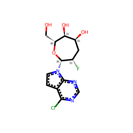 OC[C@H]1O[C@@H](n2ccc3c(Cl)ncnc32)[C@@H](F)C[C@H](O)[C@@H]1O